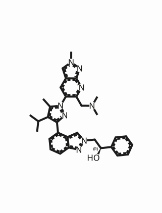 Cc1c(C(C)C)c(-c2cccc3nn(C[C@H](O)c4ccccc4)cc23)nn1-c1cc2cn(C)nc2nc1CN(C)C